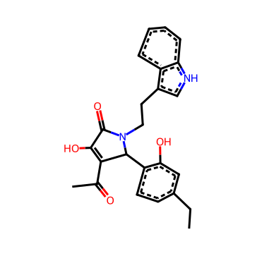 CCc1ccc(C2C(C(C)=O)=C(O)C(=O)N2CCc2c[nH]c3ccccc23)c(O)c1